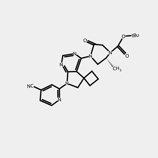 C[C@@H]1CN(c2ncnc3c2C2(CCC2)CN3c2cc(C#N)ccn2)C(=O)CN1C(=O)OC(C)(C)C